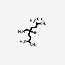 C.CC(C)CCC(N)(CN)CCC(C)C